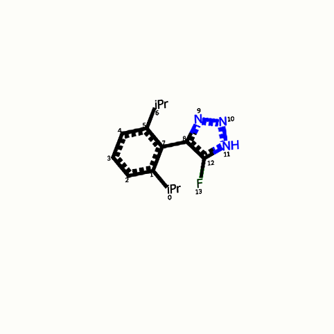 CC(C)c1cccc(C(C)C)c1-c1nn[nH]c1F